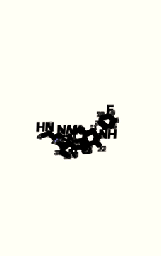 CN/C(=C\C(C)=N)SN1CCC2=CC(Nc3ccc(F)cc3)=C(C)CC2(C(=O)c2cc(C)ccn2)C1